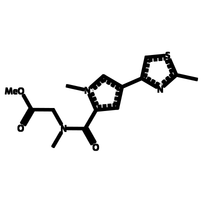 COC(=O)CN(C)C(=O)c1cc(-c2csc(C)n2)cn1C